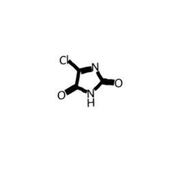 O=C1N=C(Cl)C(=O)N1